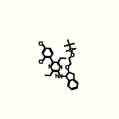 CCc1nc(-c2ccc(Cl)cc2Cl)c(CC)nc1N[C@@H]1c2ccccc2C[C@@H]1OCCO[Si](C)(C)C(C)(C)C